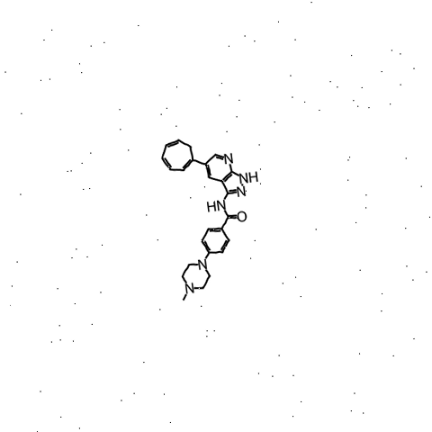 CN1CCN(c2ccc(C(=O)Nc3n[nH]c4ncc(C5=CC=CC=CC5)cc34)cc2)CC1